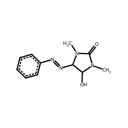 CN1C(=O)N(C)C(N=Nc2ccccc2)C1O